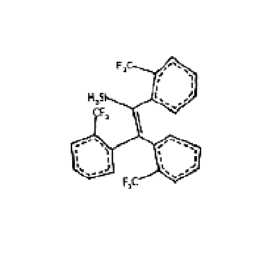 FC(F)(F)c1ccccc1C([SiH3])=C(c1ccccc1C(F)(F)F)c1ccccc1C(F)(F)F